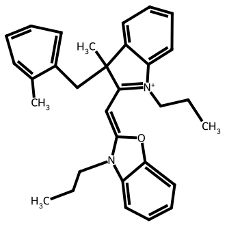 CCCN1/C(=C/C2=[N+](CCC)c3ccccc3C2(C)Cc2ccccc2C)Oc2ccccc21